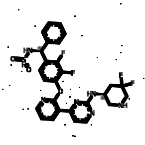 O=[SH](=O)N[C@@H](c1ccccc1)c1ccc(Oc2ncccc2-c2ccnc(N[C@@H]3CNCC(F)(F)C3)n2)c(F)c1F